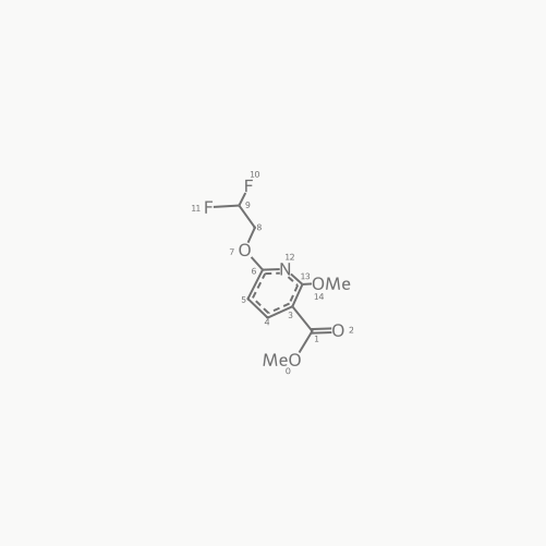 COC(=O)c1ccc(OCC(F)F)nc1OC